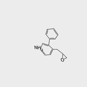 N.c1ccc(-c2ccccc2CC2CO2)cc1